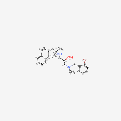 CN(Cc1ccccc1Br)C[C@H](O)CNC(C)(C)Cc1ccc2ccccc2c1